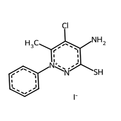 Cc1c(Cl)c(N)c(S)n[n+]1-c1ccccc1.[I-]